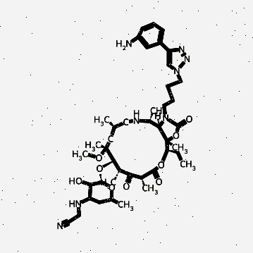 CC[C@H]1OC(=O)[C@H](C)C(=O)[C@H](C)[C@@H](O[C@@H]2OC(C)CC(NCC#N)C2O)[C@](C)(OC)C[C@@H](C)CN[C@H](C)[C@H]2N(CCCCn3cc(-c4cccc(N)c4)nn3)C(=O)O[C@]12C